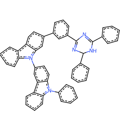 c1ccc(C2=NC(c3cccc(-c4ccc5c6ccccc6n(-c6ccc7c(c6)c6ccccc6n7-c6ccccc6)c5c4)c3)=NC(c3ccccc3)N2)cc1